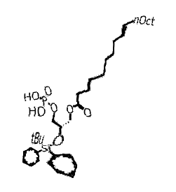 CCCCCCCCC=CCCCCCCCC(=O)OC[C@@H](COP(=O)(O)O)O[Si](c1ccccc1)(c1ccccc1)C(C)(C)C